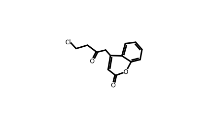 O=C(CCCl)Cc1cc(=O)oc2ccccc12